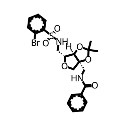 CC1(C)O[C@@H]2[C@@H](CNS(=O)(=O)c3ccccc3Br)OC[C@]2(CNC(=O)c2ccccc2)O1